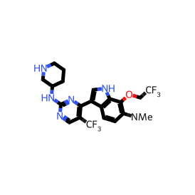 CNc1ccc2c(-c3nc(NC4CCCNC4)ncc3C(F)(F)F)c[nH]c2c1OCC(F)(F)F